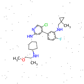 COC[C@@H](C)N[C@H]1CC[C@H](Nc2cc(-c3ccc(F)c(NCC4(C)CC4)c3)c(Cl)cn2)CC1